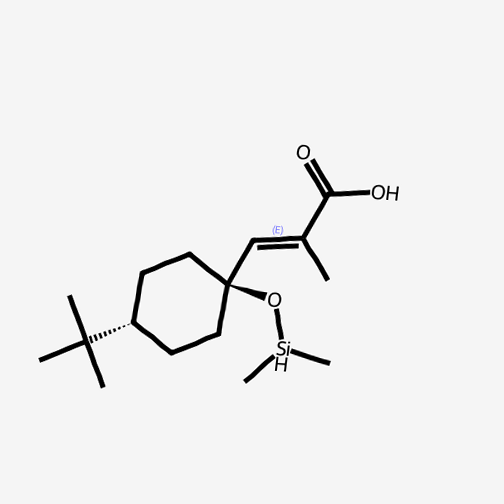 C/C(=C\[C@]1(O[SiH](C)C)CC[C@H](C(C)(C)C)CC1)C(=O)O